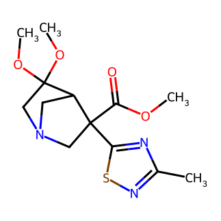 COC(=O)C1(c2nc(C)ns2)CN2CC1C(OC)(OC)C2